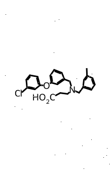 Cc1cccc(CN(CCC(=O)O)Cc2cccc(Oc3cccc(Cl)c3)c2)c1